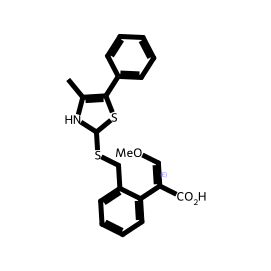 CO/C=C(/C(=O)O)c1ccccc1CSC1NC(C)=C(c2ccccc2)S1